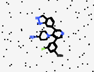 COc1cc(F)cc(-c2cncc(-c3ccc4c(c3)NNC4)c2N2CCC(N)CC2)c1